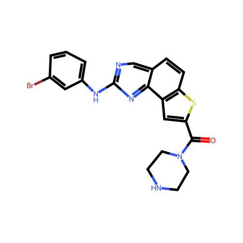 O=C(c1cc2c(ccc3cnc(Nc4cccc(Br)c4)nc32)s1)N1CCNCC1